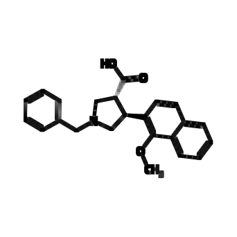 COc1c([C@H]2CN(Cc3ccccc3)C[C@@H]2C(=O)O)ccc2ccccc12